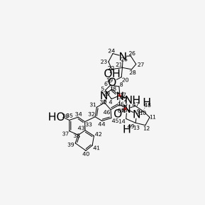 O=C(N[C@H]1CC[C@H](O)C1)N1[C@@H]2CC[C@H]1CN(c1nc(OCC34CCCN3CCC4)nc3cc(-c4cc(O)cc5ccccc45)ccc13)C2